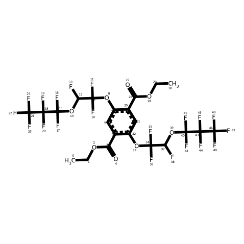 CCOC(=O)c1cc(OC(F)(F)C(F)OC(F)(F)C(F)(F)C(F)(F)F)c(C(=O)OCC)cc1OC(F)(F)C(F)OC(F)(F)C(F)(F)C(F)(F)F